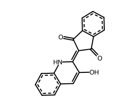 O=C1C(=C2Nc3ccccc3C=C2O)C(=O)c2ccccc21